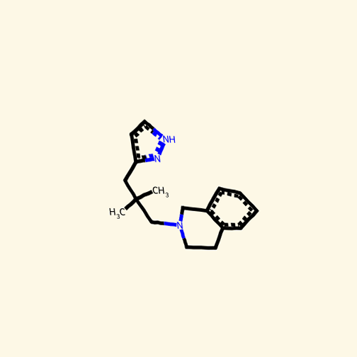 CC(C)(Cc1cc[nH]n1)CN1CCc2ccccc2C1